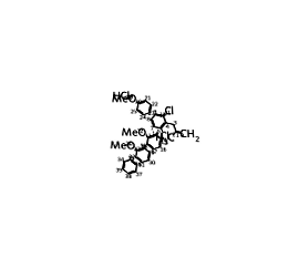 C=C(C)Cc1c(Cl)cccc1Cl.COc1ccccc1.COc1ccccc1.COc1ccccc1.Cl.c1ccccc1